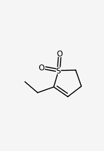 CCC1=CCCS1(=O)=O